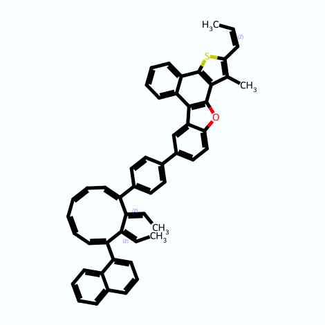 C/C=C\c1sc2c3ccccc3c3c4cc(-c5ccc(-c6ccccccc(-c7cccc8ccccc78)c(=C/C)/c6=C\C)cc5)ccc4oc3c2c1C